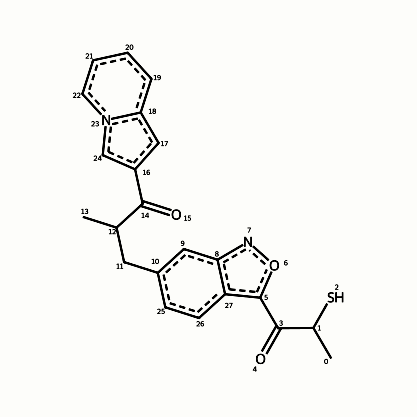 CC(S)C(=O)c1onc2cc(CC(C)C(=O)c3cc4ccccn4c3)ccc12